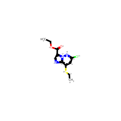 CCOC(=O)c1cnc2c(SCC)cc(Cl)nn12